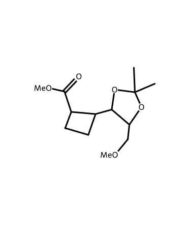 COCC1OC(C)(C)OC1C1CCC1C(=O)OC